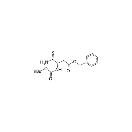 CCCCOC(=O)NC(CC(=O)OCc1ccccc1)C(N)=S